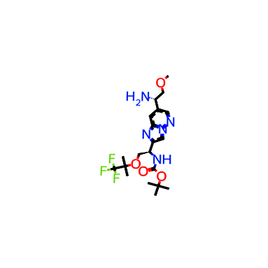 COC[C@@H](N)c1cnn2cc([C@H](COC(C)(C)C(F)(F)F)NC(=O)OC(C)(C)C)nc2c1